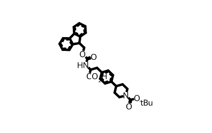 CC(C)(C)OC(=O)N1CCC(c2ccc(CC(NC(=O)OCC3c4ccccc4-c4ccccc43)C(=O)O)cc2)CC1